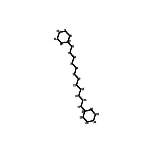 C(CCCCCCC1CCCCC1)CCCCCC1CCCCC1